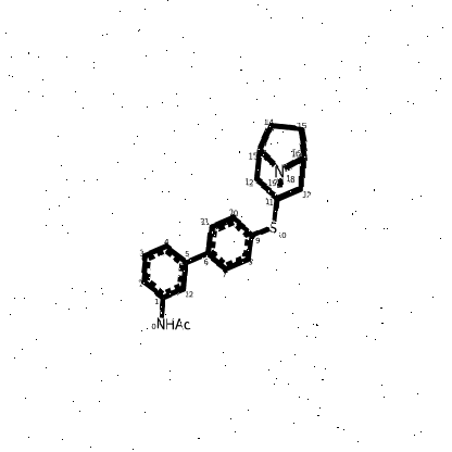 CC(=O)Nc1cccc(-c2ccc(SC3CC4CCC(C3)N4C)cc2)c1